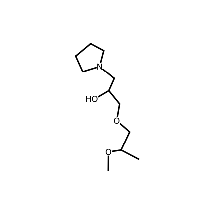 COC(C)COCC(O)CN1CCCC1